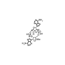 CO[C@@H]1COP(=O)(S)O[C@@H]2[C@H](O)[C@@H](COP(=O)(S)O[C@H]1[C@@H](Cl)n1cnc3c(N)ncnc31)O[C@H]2n1cnc2c(N)ncnc21